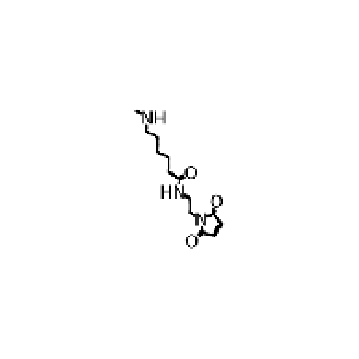 CNCCCCCC(=O)NCCN1C(=O)C=CC1=O